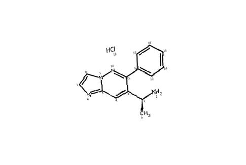 C[C@H](N)c1cc2nccn2nc1-c1ccccc1.Cl